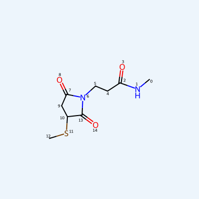 CNC(=O)CCN1C(=O)CC(SC)C1=O